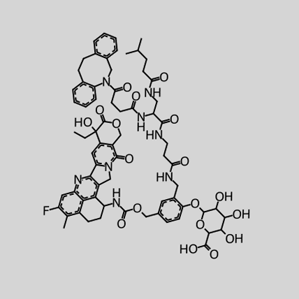 CCC1(O)C(=O)OCc2c1cc1n(c2=O)Cc2c-1nc1cc(F)c(C)c3c1c2C(NC(=O)OCc1ccc(OC2OC(C(=O)O)C(O)C(O)C2O)c(CNC(=O)CCNC(=O)C(CNC(=O)CCC(C)C)NC(=O)CCC(=O)N2Cc4ccccc4CCc4ccccc42)c1)CC3